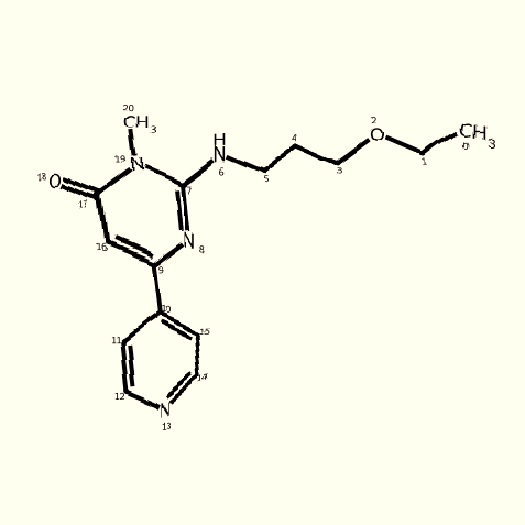 CCOCCCNc1nc(-c2ccncc2)cc(=O)n1C